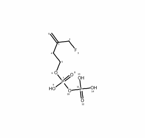 C=C(CF)CCOP(=O)(O)OP(=O)(O)O